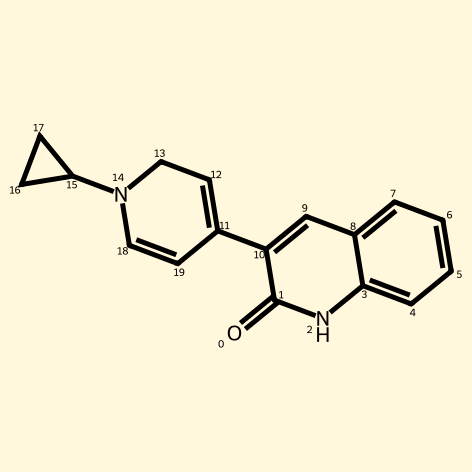 O=c1[nH]c2ccccc2cc1C1=CCN(C2CC2)C=C1